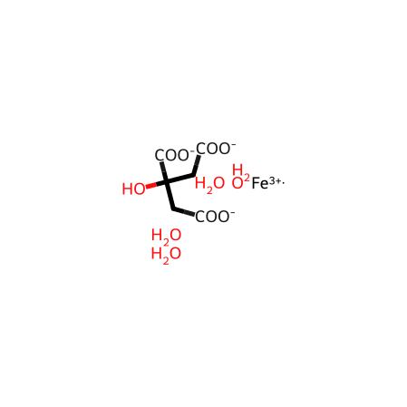 O.O.O.O.O=C([O-])CC(O)(CC(=O)[O-])C(=O)[O-].[Fe+3]